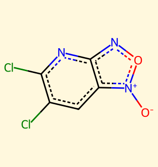 [O-][n+]1onc2nc(Cl)c(Cl)cc21